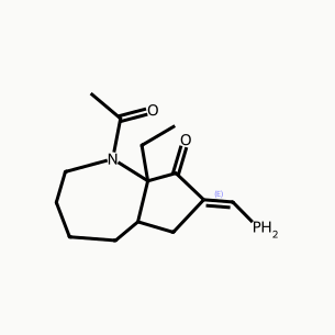 CCC12C(=O)/C(=C/P)CC1CCCCN2C(C)=O